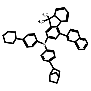 CC1(C)c2cc(N(c3ccc(C4CCCCC4)cc3)c3ccc(C4CC5CCC4C5)cc3)cc(-c3ccc4ccccc4c3)c2C2C=CC=CC21